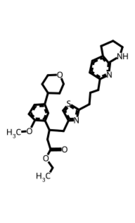 CCOC(=O)CC(Cc1csc(CCCc2ccc3c(n2)NCCC3)n1)c1cc(C2CCOCC2)ccc1OC